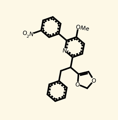 COc1ccc(C(Cc2ccccc2)C2=COCO2)nc1-c1cccc([N+](=O)[O-])c1